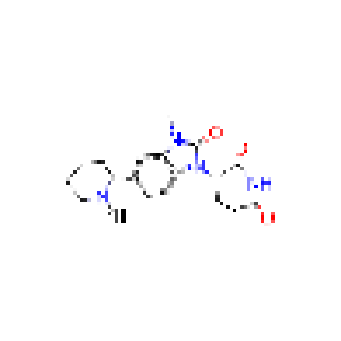 [2H]N1CCCCC1c1ccc2c(c1)n(C)c(=O)n2C1CCC(=O)NC1=O